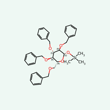 C[Si](C)(C)O[C@@H]1O[C@H](COCc2ccccc2)[C@@H](OCc2ccccc2)[C@H](OCc2ccccc2)[C@H]1OCc1ccccc1